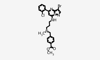 COC(=O)c1ccc(CN(C)CCCNc2cc(-c3ccccc3Cl)nc3c(Br)cnn23)cc1